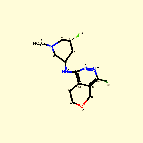 O=C(O)N1C[C@H](F)C[C@@H](Nc2nnc(Cl)c3c2CCOC3)C1